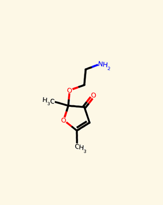 CC1=CC(=O)C(C)(OCCN)O1